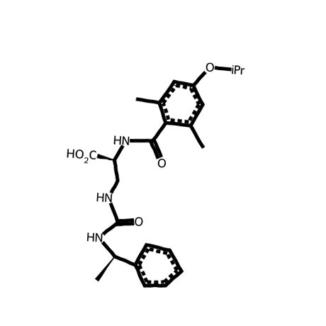 Cc1cc(OC(C)C)cc(C)c1C(=O)N[C@@H](CNC(=O)N[C@H](C)c1ccccc1)C(=O)O